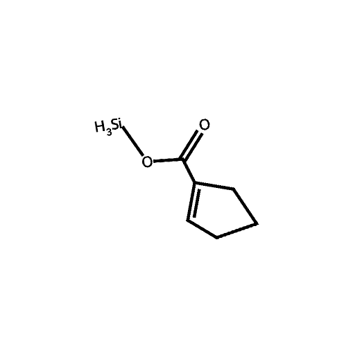 O=C(O[SiH3])C1=CCCC1